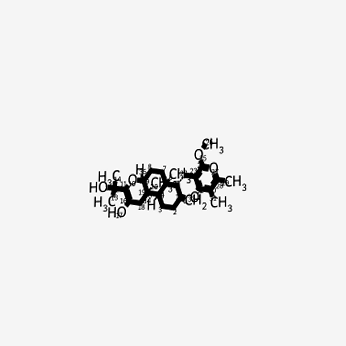 C=C1CC[C@@H]2[C@](C)(CC[C@H]3OC(C(C)(C)O)=C(O)C[C@]23C)[C@@H]1Cc1c(OC)oc(C)c(C)c1=O